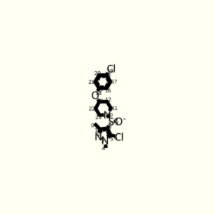 Cc1nn(C)c(Cl)c1[S+]([O-])N1CCC(Oc2ccc(Cl)cc2)CC1